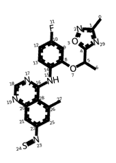 Cc1noc(C(C)Oc2cc(F)ccc2Nc2ncnc3cc(N=S)cc(C)c23)n1